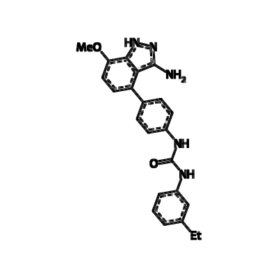 CCc1cccc(NC(=O)Nc2ccc(-c3ccc(OC)c4[nH]nc(N)c34)cc2)c1